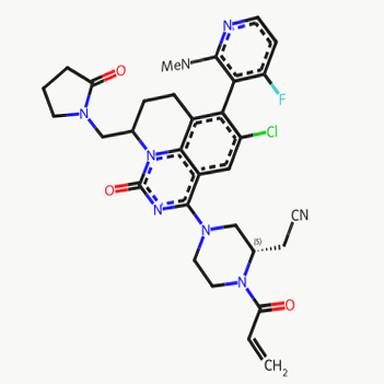 C=CC(=O)N1CCN(c2nc(=O)n3c4c(c(-c5c(F)ccnc5NC)c(Cl)cc24)CCC3CN2CCCC2=O)C[C@@H]1CC#N